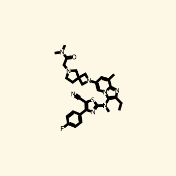 CCc1nc2c(C)cc(N3CC4(CCN(CC(=O)N(C)C)C4)C3)cn2c1N(C)c1nc(-c2ccc(F)cc2)c(C#N)s1